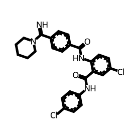 N=C(c1ccc(C(=O)Nc2ccc(Cl)cc2C(=O)Nc2ccc(Cl)cc2)cc1)N1CCCCC1